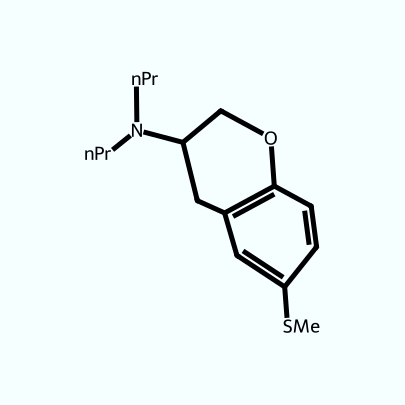 CCCN(CCC)C1COc2ccc(SC)cc2C1